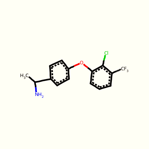 CC(N)c1ccc(Oc2cccc(C(F)(F)F)c2Cl)cc1